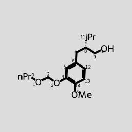 CCCOCOc1cc(C[C@@H](CO)C(C)C)ccc1OC